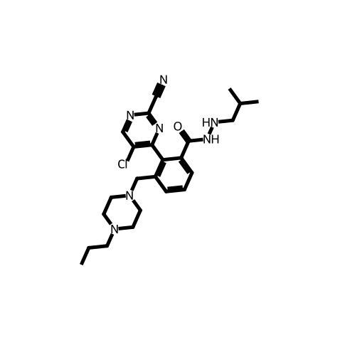 CCCN1CCN(Cc2cccc(C(=O)NNCC(C)C)c2-c2nc(C#N)ncc2Cl)CC1